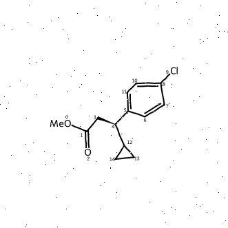 COC(=O)C[C@@H](c1ccc(Cl)cc1)C1CC1